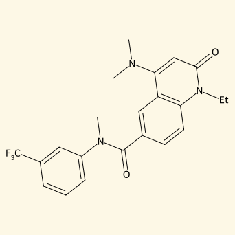 CCn1c(=O)cc(N(C)C)c2cc(C(=O)N(C)c3cccc(C(F)(F)F)c3)ccc21